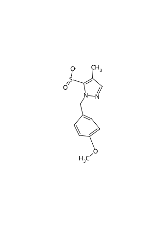 COc1ccc(Cn2ncc(C)c2S([O])=O)cc1